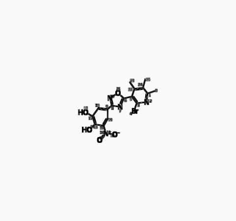 Cc1nc(Br)c(-c2nc(-c3cc(O)c(O)c([N+](=O)[O-])c3)no2)c(C)c1C